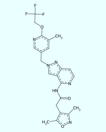 Cc1cc(Cn2cc3c(NC(=O)Cc4c(C)noc4C)nccc3n2)cnc1OCC(F)(F)F